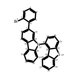 Brc1ccccc1-c1ccc2c3ccccc3n(-c3cccc4sc5ccccc5c34)c2c1